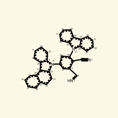 N#Cc1c(C=N)cc(-n2c3ccccc3c3c4ccccc4ccc32)cc1-n1c2ccccc2c2ccccc21